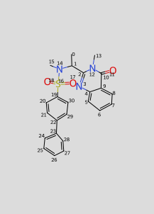 CC(c1nc2ccccc2c(=O)n1C)N(C)S(=O)(=O)c1ccc(-c2ccccc2)cc1